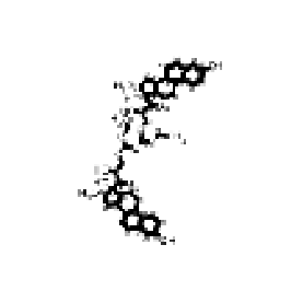 CCOC(OCC(O)C(=O)[C@@]1(O)[C@H](C)C=C2c3ccc4cc(O)ccc4c3CC[C@@]21C)OC(OCC)OCC(O)C(=O)[C@@]1(O)[C@H](C)C=C2c3ccc4cc(O)ccc4c3CC[C@@]21C